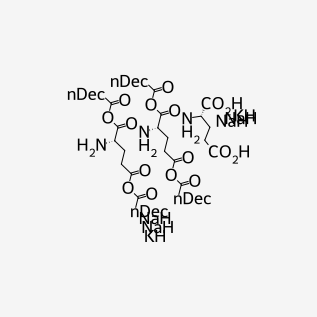 CCCCCCCCCCC(=O)OC(=O)CC[C@H](N)C(=O)OC(=O)CCCCCCCCCC.CCCCCCCCCCC(=O)OC(=O)CC[C@H](N)C(=O)OC(=O)CCCCCCCCCC.N[C@@H](CCC(=O)O)C(=O)O.[KH].[KH].[NaH].[NaH].[NaH].[NaH]